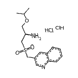 CC(C)OCC(N)CS(=O)(=O)Cc1cnc2ccccc2c1.Cl.Cl